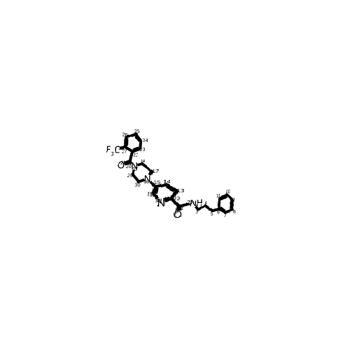 O=C(NCCCc1ccccc1)c1ccc(N2CCN(C(=O)c3ccccc3C(F)(F)F)CC2)cn1